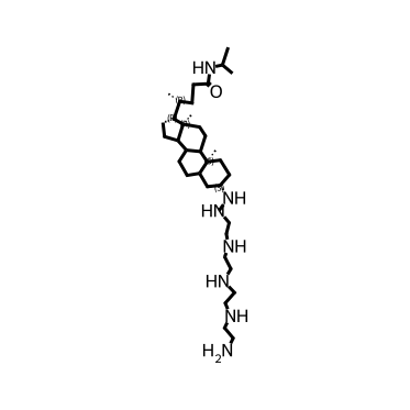 CC(C)NC(=O)CC[C@@H](C)[C@H]1CCC2C3CCC4C[C@@H](NNCCNCCNCCNCCN)CC[C@]4(C)C3CC[C@@]21C